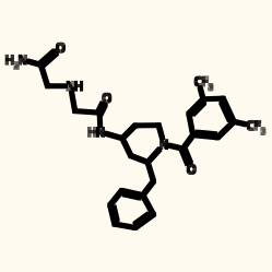 NC(=O)CNCC(=O)NC1CCN(C(=O)c2cc(C(F)(F)F)cc(C(F)(F)F)c2)C(Cc2ccccc2)C1